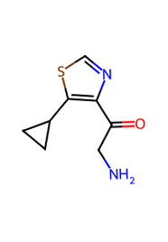 NCC(=O)c1ncsc1C1CC1